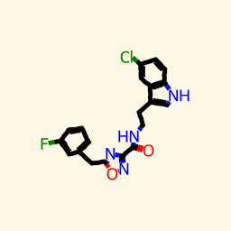 O=C(NCCc1c[nH]c2ccc(Cl)cc12)c1noc(Cc2cccc(F)c2)n1